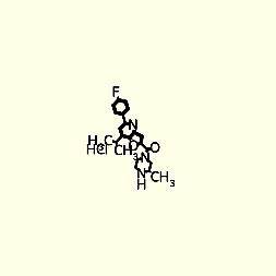 CC(C)c1cc(-c2ccc(F)cc2)nc2cc(C(=O)N3CCN[C@@H](C)C3)oc12.Cl